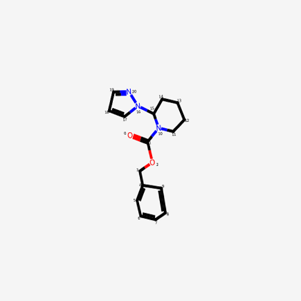 O=C(OCc1ccccc1)N1CCCCC1n1cccn1